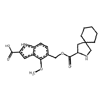 COc1c(COC(=O)C2CC3(CCCCC3)CN2)ccc2[nH]c(C(=O)O)cc12